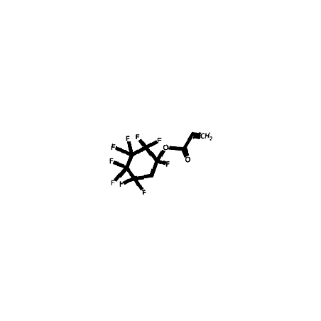 C=CC(=O)OC1(F)CC(F)(F)C(F)(F)C(F)(F)C1(F)F